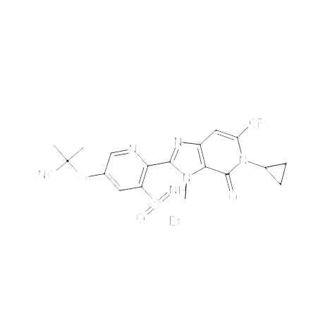 CC[S@](=N)(=O)c1cc(OC(C)(C)C#N)cnc1-c1nc2cc(C(F)(F)F)n(C3CC3)c(=O)c2n1C